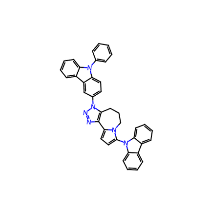 c1ccc(-n2c3ccccc3c3cc(-n4nnc5c4CCCn4c-5ccc4-n4c5ccccc5c5ccccc54)ccc32)cc1